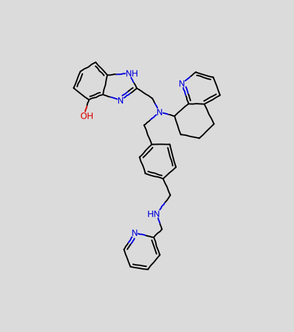 Oc1cccc2[nH]c(CN(Cc3ccc(CNCc4ccccn4)cc3)C3CCCc4cccnc43)nc12